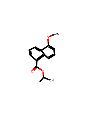 CCCCCCCCOc1cccc2c(C(=O)OC(C)C#N)cccc12